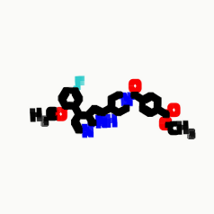 COC(=O)c1ccc(C(=O)N2CC=C(c3cc4c(-c5cc(F)ccc5OC)ccnc4[nH]3)CC2)cc1